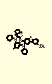 Cc1cc2c3c(c1)N(c1ccccc1)c1cc4c(cc1B3C1=C(N2c2ccccc2)C2(C)CCCC2(C)S1)sc1ccc(C(C)(C)C)cc14